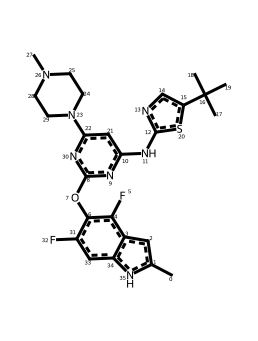 Cc1cc2c(F)c(Oc3nc(Nc4ncc(C(C)(C)C)s4)cc(N4CCN(C)CC4)n3)c(F)cc2[nH]1